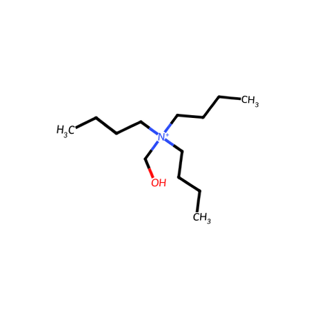 CCCC[N+](CO)(CCCC)CCCC